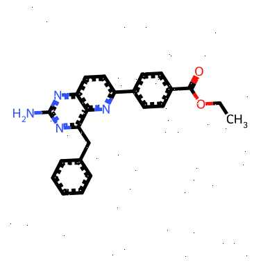 CCOC(=O)c1ccc(-c2ccc3nc(N)nc(Cc4ccccc4)c3n2)cc1